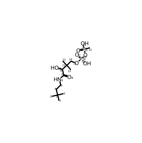 CC(C)(C)CCNC(=O)C(O)C(C)(C)COP(=O)(O)OP(C)(=O)O